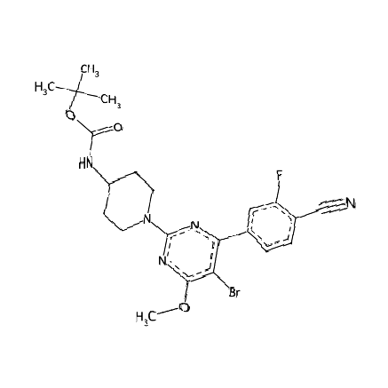 COc1nc(N2CCC(NC(=O)OC(C)(C)C)CC2)nc(-c2ccc(C#N)c(F)c2)c1Br